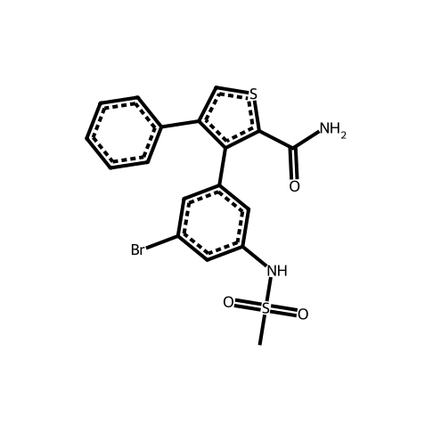 CS(=O)(=O)Nc1cc(Br)cc(-c2c(-c3ccccc3)csc2C(N)=O)c1